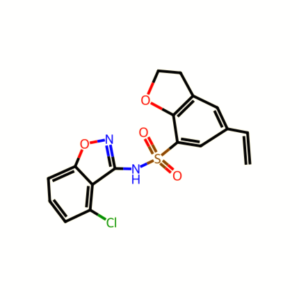 C=Cc1cc2c(c(S(=O)(=O)Nc3noc4cccc(Cl)c34)c1)OCC2